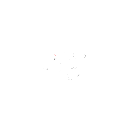 C#CC(c1ccccc1)(c1ccccc1)C1C(=O)OC(C)(C)OC1=O